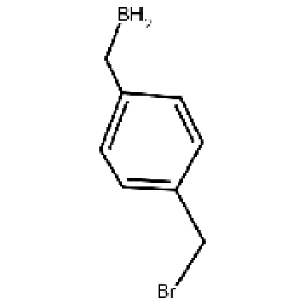 BCc1ccc(CBr)cc1